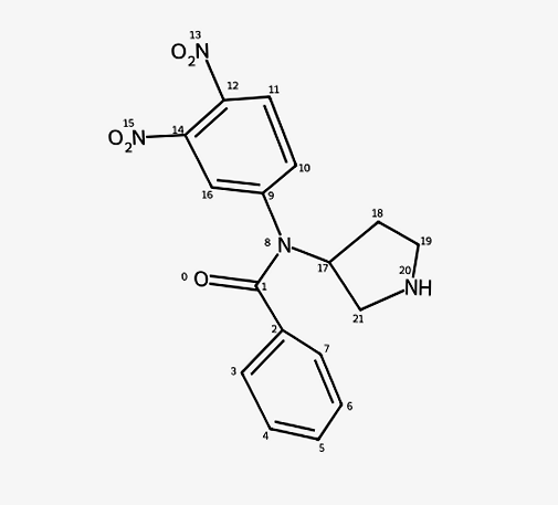 O=C(c1ccccc1)N(c1ccc([N+](=O)[O-])c([N+](=O)[O-])c1)C1CCNC1